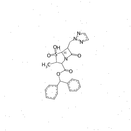 CC1C(C(=O)OC(c2ccccc2)c2ccccc2)N2C(=O)C(Cn3nccn3)[C@@H]2S1(=O)=O